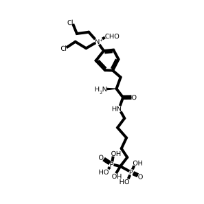 N[C@@H](Cc1ccc([N+](C=O)(CCCl)CCCl)cc1)C(=O)NCCCCCC(O)(P(=O)(O)O)P(=O)(O)O